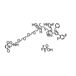 CC(C)(C)C(c1cc(-c2cc(F)ccc2F)cn1Cc1ccccc1)N(C[C@H]1CNC[C@@H]1F)C(=O)CSCC(NC(=O)CCOCCOCCOCCOCCNC(=O)CN1C(=O)C=CC1=O)C(=O)O.O=C(O)C(F)(F)F